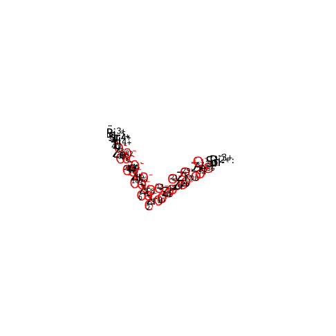 [Bi+3].[Bi+3].[O]=[Zr]([O-])[O-].[O]=[Zr]([O-])[O-].[O]=[Zr]([O-])[O-].[O]=[Zr]([O-])[O-].[O]=[Zr]([O-])[O-].[O]=[Zr]([O-])[O-].[O]=[Zr]([O-])[O-].[O]=[Zr]([O-])[O-].[O]=[Zr]([O-])[O-].[Sr+2].[Sr+2].[Ti+4].[Ti+4]